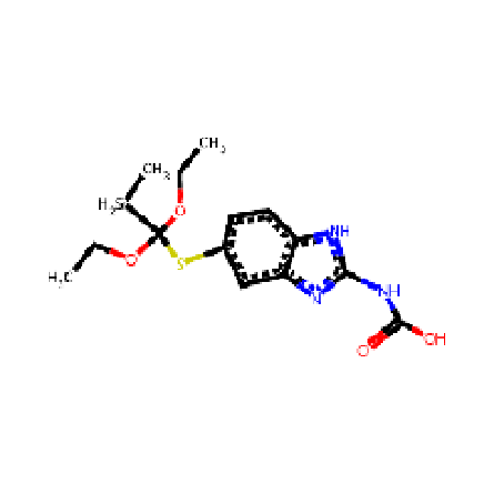 CCOC(OCC)([SiH2]C)Sc1ccc2[nH]c(NC(=O)O)nc2c1